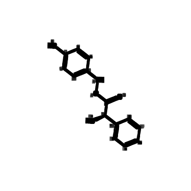 O=C(ONc1ccc(O)cc1)[C@H](O)c1ccccc1